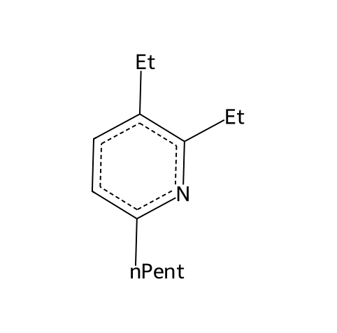 CCCCCc1ccc(CC)c(CC)n1